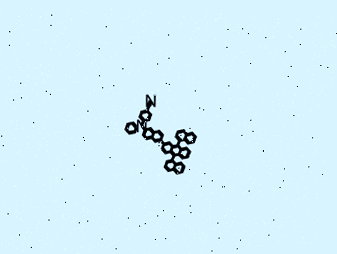 N#Cc1ccc(N(c2ccccc2)c2ccc3cc(-c4ccc5c(-c6cccc7ccccc67)c6ccccc6c(-c6cccc7ccccc67)c5c4)ccc3c2)cc1